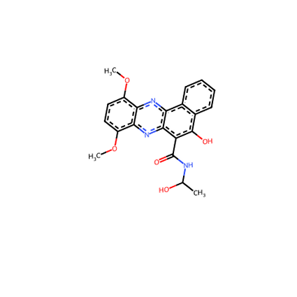 COc1ccc(OC)c2nc3c(nc12)c(C(=O)NC(C)O)c(O)c1ccccc13